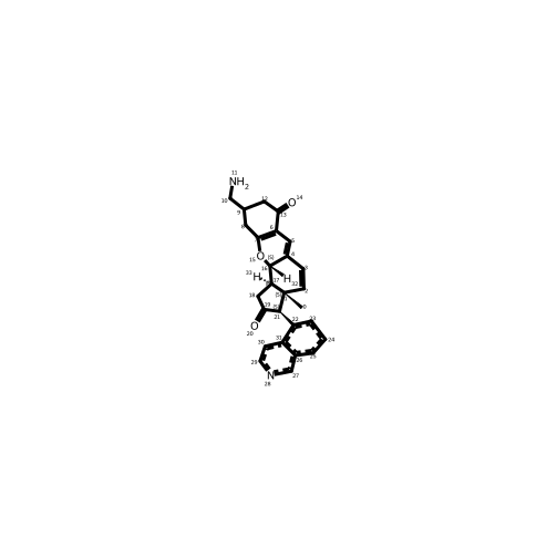 C[C@]12C=CC3=CC4=C(CC(CN)CC4=O)O[C@H]3[C@@H]1CC(=O)[C@@H]2c1cccc2cnccc12